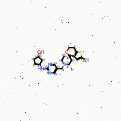 CCc1cc2c(s1)CCO[C@@]21CCN(Cc2cnc(N[C@H]3CC[C@H](O)C3)nc2)[C@@H](C)C1